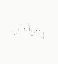 NC(=O)N(N)c1ncc(CCCCc2ccccc2)c(N(N)C(N)=O)n1